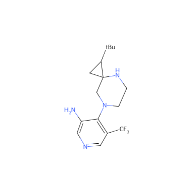 CC(C)(C)C1CC12CN(c1c(N)cncc1C(F)(F)F)CCN2